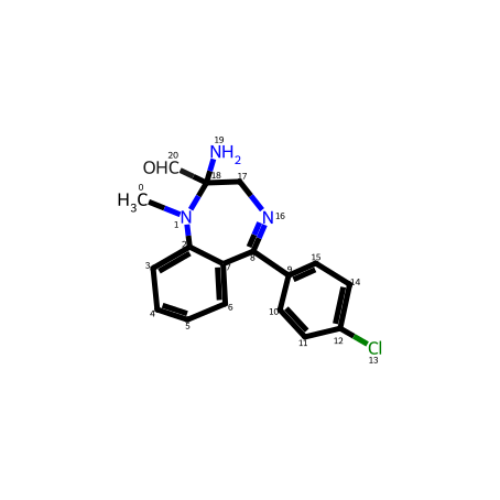 CN1c2ccccc2C(c2ccc(Cl)cc2)=NCC1(N)C=O